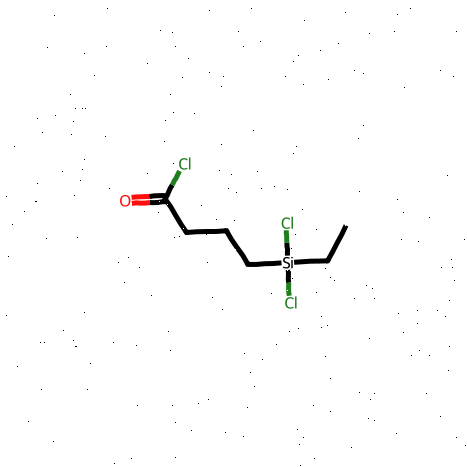 CC[Si](Cl)(Cl)CCCC(=O)Cl